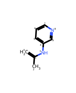 C=C(C)Nc1cccnc1